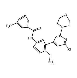 NCc1ccc(NC(=O)c2cccc(C(F)(F)F)c2)cc1-c1cc(Cl)nc(N2CCOCC2)c1